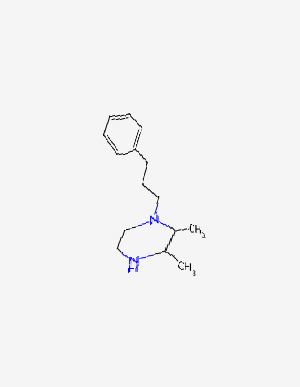 CC1NCCN(CCCc2ccccc2)C1C